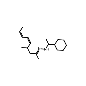 C/C=C\C=C/C(C)C/C(C)=N/NC(C)C1CCCCC1